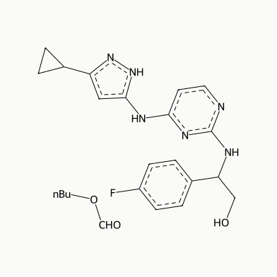 CCCCOC=O.OCC(Nc1nccc(Nc2cc(C3CC3)n[nH]2)n1)c1ccc(F)cc1